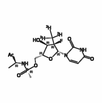 [2H]C([2H])([2H])[C@@]1(F)[C@H](O)[C@@H](CO[P@@](C)(=O)N[C@@H](C)C(C)=O)O[C@H]1n1ccc(=O)[nH]c1=O